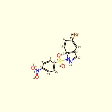 O=[N+]([O-])c1ccc(S(=O)(=O)n2ncc3cc(Br)ccc32)cc1